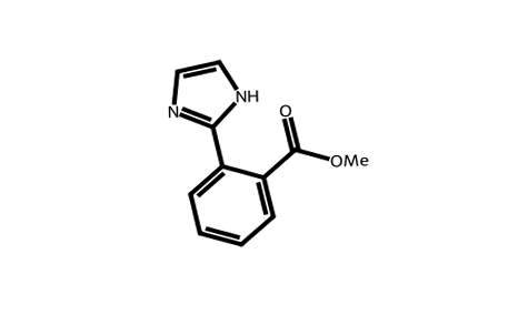 COC(=O)c1ccccc1-c1ncc[nH]1